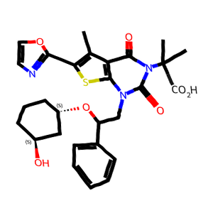 Cc1c(-c2ncco2)sc2c1c(=O)n(C(C)(C)C(=O)O)c(=O)n2CC(O[C@H]1CCC[C@H](O)C1)c1ccccc1